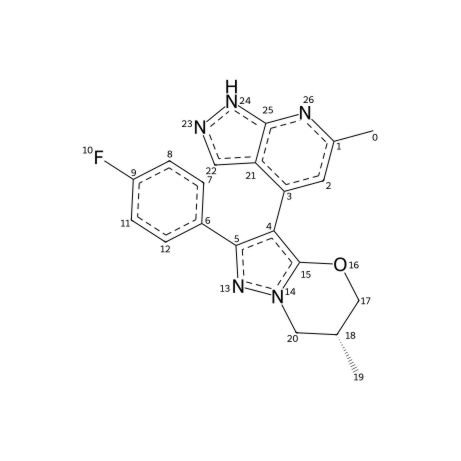 Cc1cc(-c2c(-c3ccc(F)cc3)nn3c2OC[C@H](C)C3)c2cn[nH]c2n1